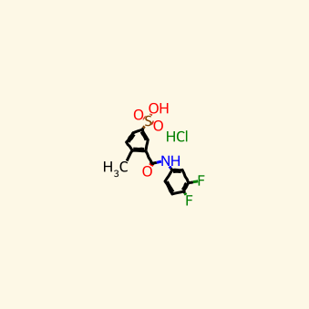 Cc1ccc(S(=O)(=O)O)cc1C(=O)Nc1ccc(F)c(F)c1.Cl